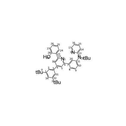 CC(C)(C)c1cc(-c2cc(-c3cccc(N(c4ccccn4)C(C)(C)C)c3)nc(-c3ccccc3O)c2)cc(C(C)(C)C)c1